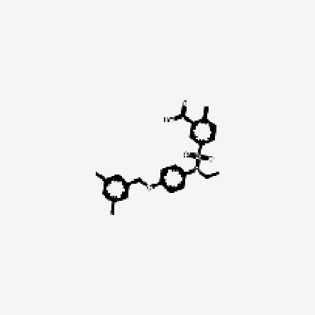 CCN(c1ccc(OCc2cc(C)cc(C)c2)cc1)S(=O)(=O)c1ccc(C)c(C(=O)O)c1